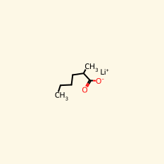 CCCCC(C)C(=O)[O-].[Li+]